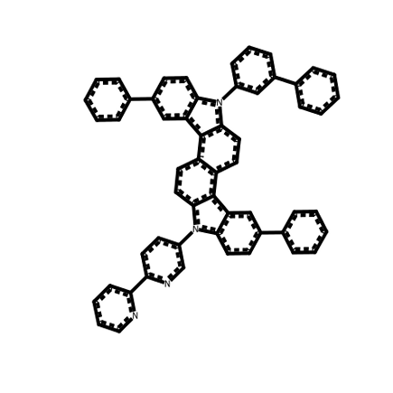 c1ccc(-c2cccc(-n3c4ccc(-c5ccccc5)cc4c4c5ccc6c(c5ccc43)c3cc(-c4ccccc4)ccc3n6-c3ccc(-c4ccccn4)nc3)c2)cc1